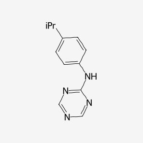 CC(C)c1ccc(Nc2ncncn2)cc1